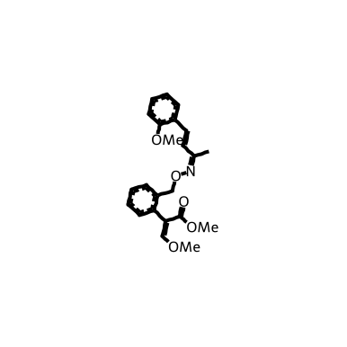 COC=C(C(=O)OC)c1ccccc1CON=C(C)C=Cc1ccccc1OC